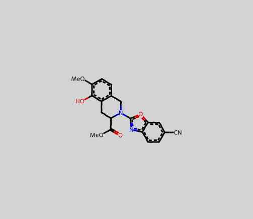 COC(=O)C1Cc2c(ccc(OC)c2O)CN1c1nc2ccc(C#N)cc2o1